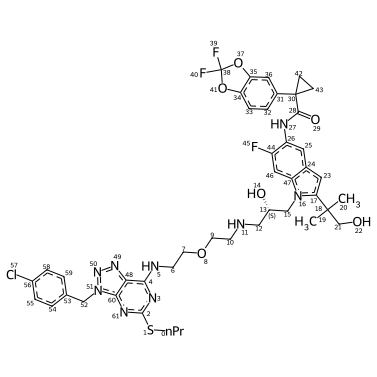 CCCSc1nc(NCCOCCNC[C@H](O)Cn2c(C(C)(C)CO)cc3cc(NC(=O)C4(c5ccc6c(c5)OC(F)(F)O6)CC4)c(F)cc32)c2nnn(Cc3ccc(Cl)cc3)c2n1